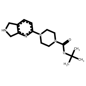 CC(C)(C)OC(=O)N1CCN(c2ccc3c(n2)CNC3)CC1